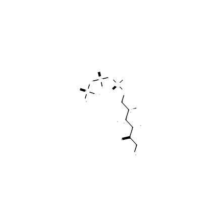 O=C(CO)[C@@H](O)[C@H](O)[C@H](O)COP(=O)(O)OP(=O)(O)OP(=O)(O)O